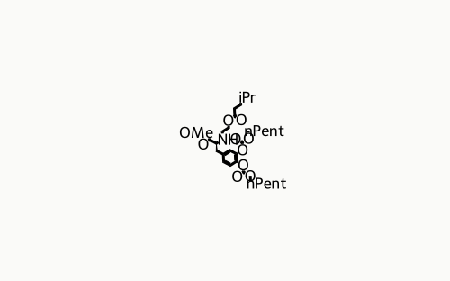 CCCCCOC(=O)Oc1ccc(C[C@H](NCCOC(=O)CCC(C)C)C(=O)OC)cc1OC(=O)OCCCCC